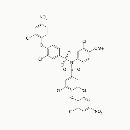 COc1ccc(N(S(=O)(=O)c2ccc(Oc3ccc([N+](=O)[O-])cc3Cl)c(Cl)c2)S(=O)(=O)c2cc(Cl)c(Oc3ccc([N+](=O)[O-])cc3Cl)c(Cl)c2)cc1Cl